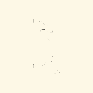 CC(C)(C)OC(=O)NCCCCCCN(CCC#N)CCC#N